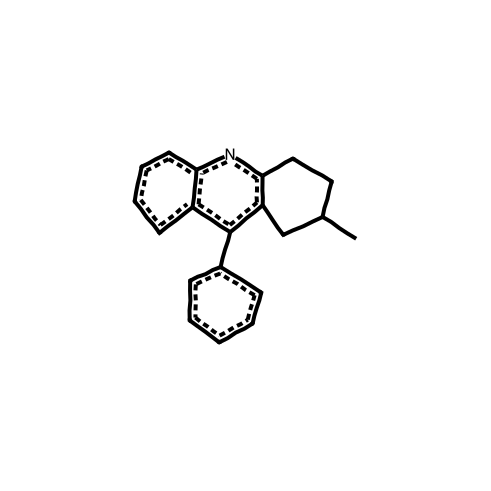 CC1CCc2nc3ccccc3c(-c3ccccc3)c2C1